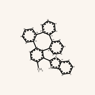 Cc1ccc2c(c1-c1nc3ccccc3s1)-c1ccccc1-c1ccccc1-c1ccccc1-2